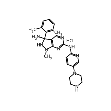 Cc1cccc(C)c1C1(N)NN(C)c2nc(Nc3ccc(N4CCNCC4)cn3)ncc21.Cl